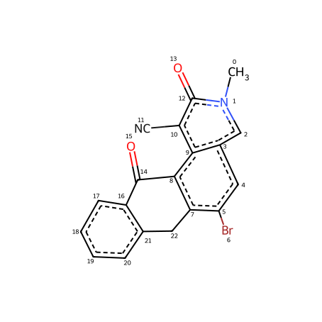 Cn1cc2cc(Br)c3c(c2c(C#N)c1=O)C(=O)c1ccccc1C3